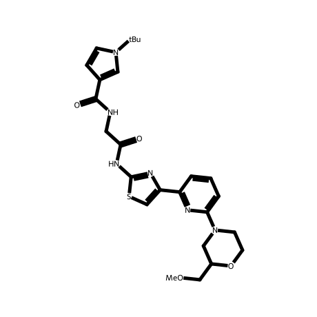 COCC1CN(c2cccc(-c3csc(NC(=O)CNC(=O)c4ccn(C(C)(C)C)c4)n3)n2)CCO1